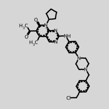 CC(=O)c1c(C)c2cnc(Nc3ccc(N4CCN(Cc5ccc(CCl)cc5)CC4)cc3)nc2n(C2CCCC2)c1=O